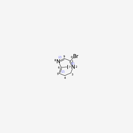 BrC1=N/CC/C=C(I)/N=C\1